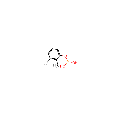 CCCCc1cccc(OP(O)O)c1C